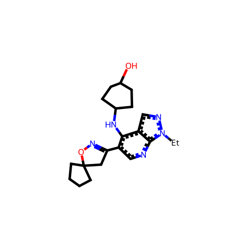 CCn1ncc2c(NC3CCC(O)CC3)c(C3=NOC4(CCCC4)C3)cnc21